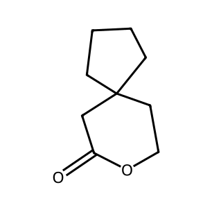 O=C1CC2(CCCC2)CCO1